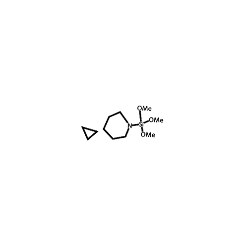 C1CC1.CO[Si](OC)(OC)N1CCCCC1